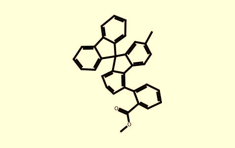 COC(=O)c1ccccc1-c1cccc2c1-c1ccc(C)cc1C21c2ccccc2-c2ccccc21